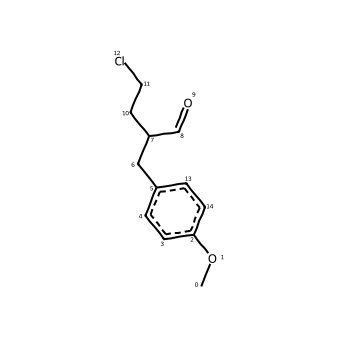 COc1ccc(CC(C=O)CCCl)cc1